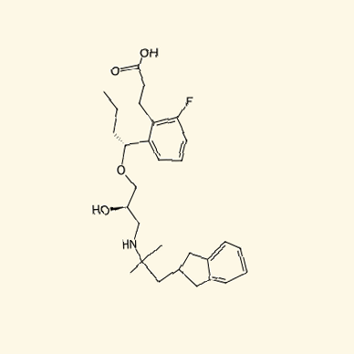 CCC[C@@H](OC[C@H](O)CNC(C)(C)CC1Cc2ccccc2C1)c1cccc(F)c1CCC(=O)O